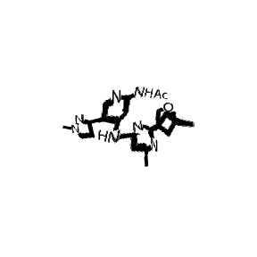 CC(=O)Nc1cc(Nc2cc(C)nc(C34COC(C)(C3)C4)n2)c(-c2ccn(C)n2)cn1